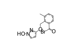 Cc1cccc(C(=O)Br)c1COc1ccn(O)n1